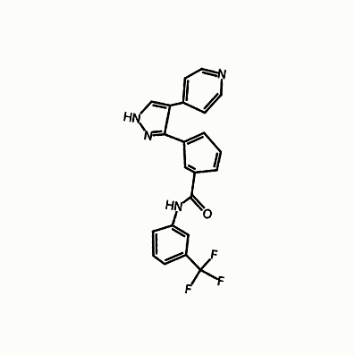 O=C(Nc1cccc(C(F)(F)F)c1)c1cccc(-c2n[nH]cc2-c2ccncc2)c1